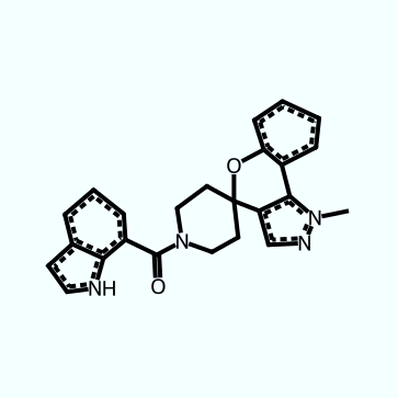 Cn1ncc2c1-c1ccccc1OC21CCN(C(=O)c2cccc3cc[nH]c23)CC1